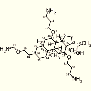 CC(O)[C@H]1CC[C@H]2[C@@H]3[C@H](OCCCN)C[C@@H]4C[C@H](CCOCN)CC[C@]4(C)[C@H]3C[C@H](OCCCN)[C@]12C